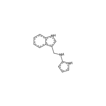 c1c[nH]c(NCc2c[nH]c3ccccc23)c1